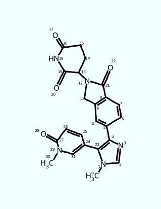 Cn1cnc(-c2ccc3c(c2)CN(C2CCC(=O)NC2=O)C3=O)c1-c1ccc(=O)n(C)c1